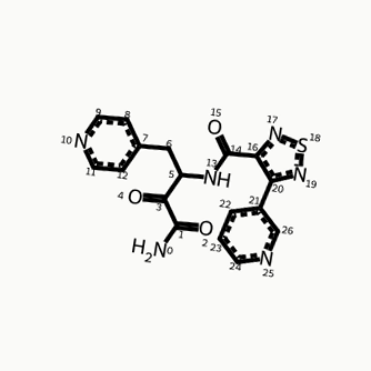 NC(=O)C(=O)C(Cc1ccncc1)NC(=O)c1nsnc1-c1cccnc1